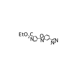 CCOC(=O)c1cc(-c2nc3cc(-c4cncn4C)ccc3o2)ccn1